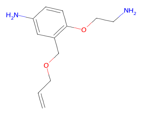 C=CCOCc1cc(N)ccc1OCCN